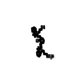 CC1(C)C(/C=C/C2=C(Cl)C(=C/C=C3/N(CCCS(=O)(=O)O)c4ccccc4C3(C)C)/CCC2)=[N+](CCCS)c2ccccc21